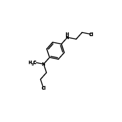 CN(CCCl)c1ccc(NCCCl)cc1